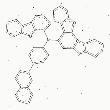 c1ccc2cc(-c3ccc(N(c4cccc5c4oc4ccccc45)c4cc5sc6ccccc6c5c5oc6ccccc6c45)cc3)ccc2c1